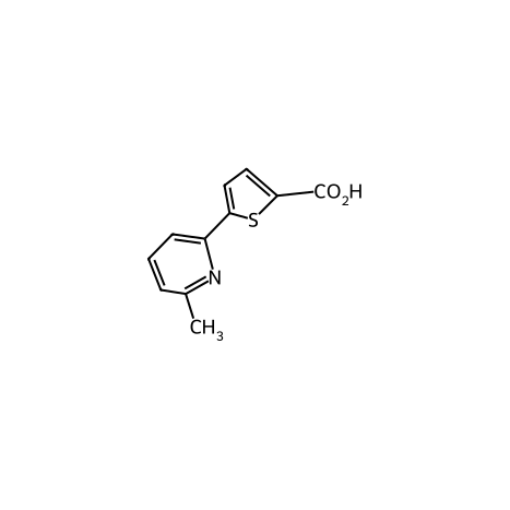 Cc1cccc(-c2ccc(C(=O)O)s2)n1